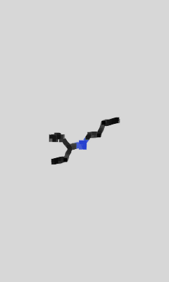 C=C/C=C/N=C(/C=C)CCC